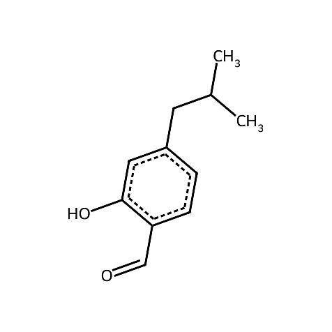 CC(C)Cc1ccc(C=O)c(O)c1